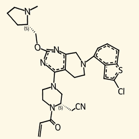 C=CC(=O)N1CCN(c2nc(OC[C@@H]3CCCN3C)nc3c2CCN(c2cccc4sc(Cl)cc24)C3)C[C@@H]1CC#N